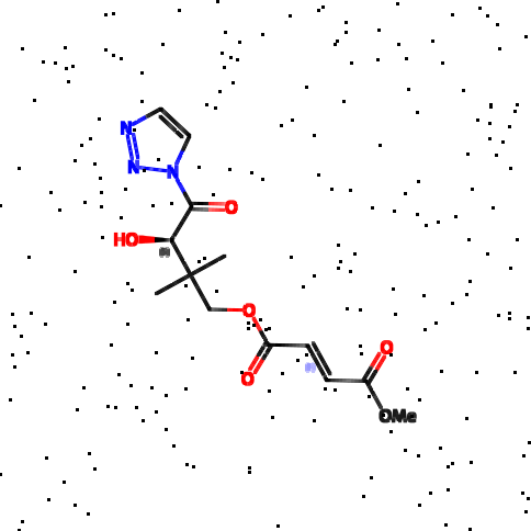 COC(=O)/C=C/C(=O)OCC(C)(C)[C@@H](O)C(=O)n1ccnn1